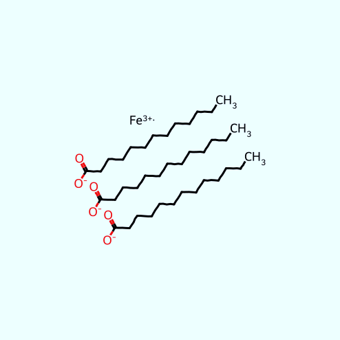 CCCCCCCCCCCCC(=O)[O-].CCCCCCCCCCCCC(=O)[O-].CCCCCCCCCCCCC(=O)[O-].[Fe+3]